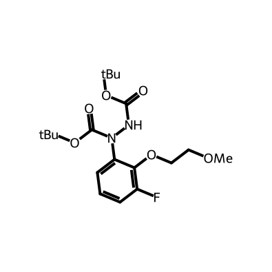 COCCOc1c(F)cccc1N(NC(=O)OC(C)(C)C)C(=O)OC(C)(C)C